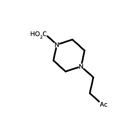 CC(=O)CCN1CCN(C(=O)O)CC1